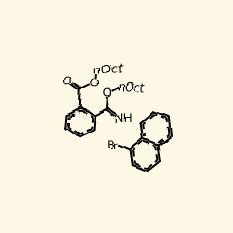 Brc1cccc2ccccc12.CCCCCCCCOC(=N)c1ccccc1C(=O)OCCCCCCCC